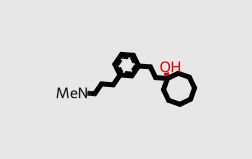 CNCCCc1cccc(CCC2(O)CCCCCCC2)c1